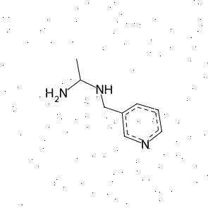 CC(N)NCc1cccnc1